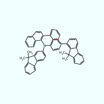 CC1(C)c2ccccc2-c2ccc(N(c3ccc(-c4cccc5c4C(C)(C)c4ccccc4-5)cc3)c3c(-c4ccccc4)ccc4ccccc34)cc21